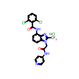 Cl.O=C(Cn1c(C(F)(F)F)nc2c(NC(=O)c3c(Cl)cccc3Cl)cccc21)Nc1ccncc1